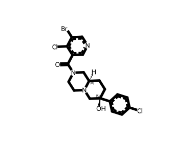 O=C(c1cncc(Br)c1Cl)N1CCN2C[C@@](O)(c3ccc(Cl)cc3)CC[C@@H]2C1